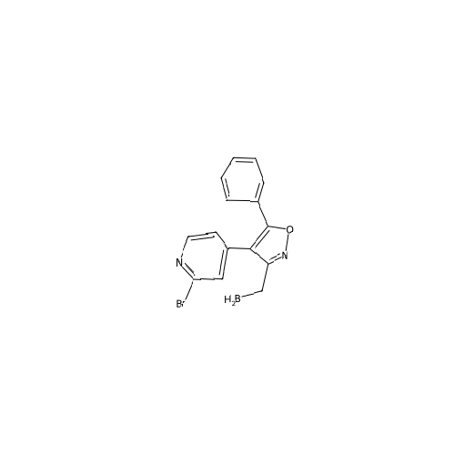 BCc1noc(-c2ccccc2)c1-c1ccnc(Br)c1